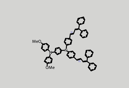 COc1ccc(N(c2ccc(OC)cc2)c2ccc(N(c3ccc(/C=C/C=C(c4ccccc4)c4ccccc4)cc3)c3ccc(/C=C/C=C(c4ccccc4)c4ccccc4)cc3)cc2)cc1